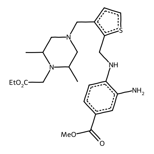 CCOC(=O)CN1C(C)CN(Cc2ccsc2CNc2ccc(C(=O)OC)cc2N)CC1C